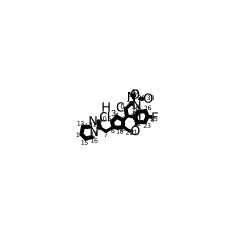 C/C(=C1\c2ccc(Cc3c(Cl)nc4ccccn34)cc2COc2cc(F)ccc21)c1noc(=O)[nH]1